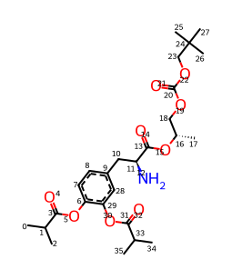 CC(C)C(=O)Oc1ccc(C[C@H](N)C(=O)O[C@@H](C)COC(=O)OCC(C)(C)C)cc1OC(=O)C(C)C